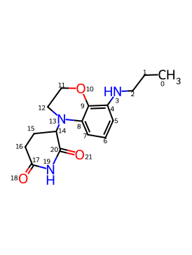 CCCNc1cccc2c1OCCN2C1CCC(=O)NC1=O